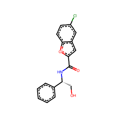 O=C(N[C@H](CO)c1ccccc1)c1cc2cc(Cl)ccc2o1